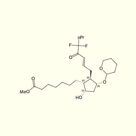 CCCC(F)(F)C(=O)C=CC[C@@H]1[C@@H](CCCCCCC(=O)OC)[C@@H](O)C[C@H]1OC1CCCCO1